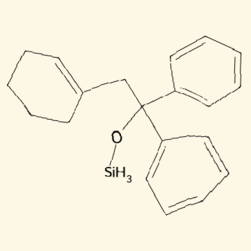 [SiH3]OC(CC1=CCCCC1)(c1ccccc1)c1ccccc1